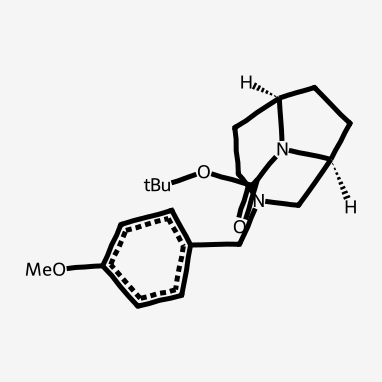 COc1ccc(CN2CC[C@H]3CC[C@@H](C2)N3C(=O)OC(C)(C)C)cc1